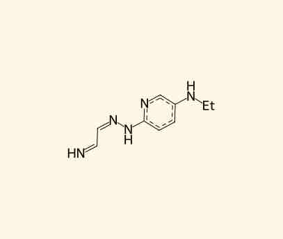 CCNc1ccc(N/N=C\C=N)nc1